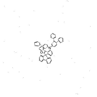 c1ccc(-c2ccc(N(c3ccc(-c4ccccc4)c(-c4ccccc4)c3)c3cccc4c3-c3c(oc5ccccc35)C43c4ccccc4-c4ccccc43)cc2)cc1